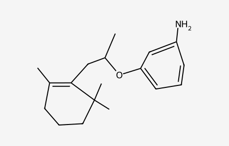 CC1=C(CC(C)Oc2cccc(N)c2)C(C)(C)CCC1